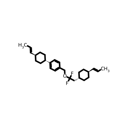 CC=C[C@H]1CC[C@H](CC(F)(F)OCc2ccc([C@H]3CC[C@H](C=CC)CC3)cc2)CC1